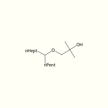 CCCCCCCC(CCCCC)OCC(C)(C)O